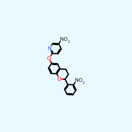 O=[N+]([O-])c1ccc(Oc2ccc3c(c2)CCC(c2ccccc2[N+](=O)[O-])O3)nc1